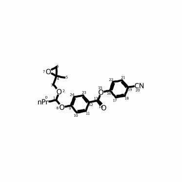 CCCC(OCC1(C)CO1)Oc1ccc(C(=O)Oc2ccc(C#N)cc2)cc1